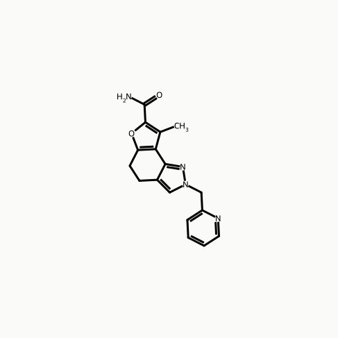 Cc1c(C(N)=O)oc2c1-c1nn(Cc3ccccn3)cc1CC2